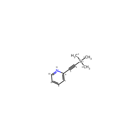 C[Si](C)(C)C#Cc1cc[c]cn1